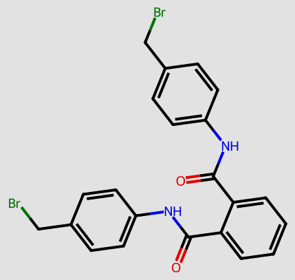 O=C(Nc1ccc(CBr)cc1)c1ccccc1C(=O)Nc1ccc(CBr)cc1